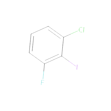 Fc1cccc(Cl)c1I